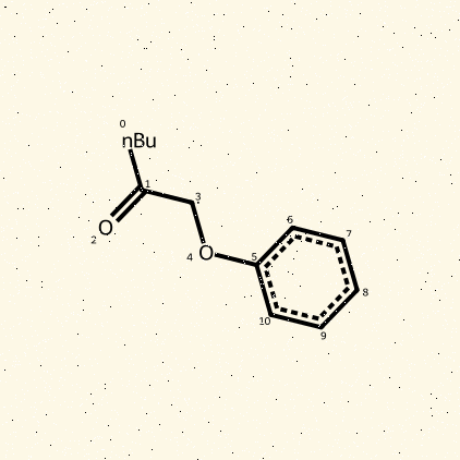 CCCCC(=O)[CH]Oc1ccccc1